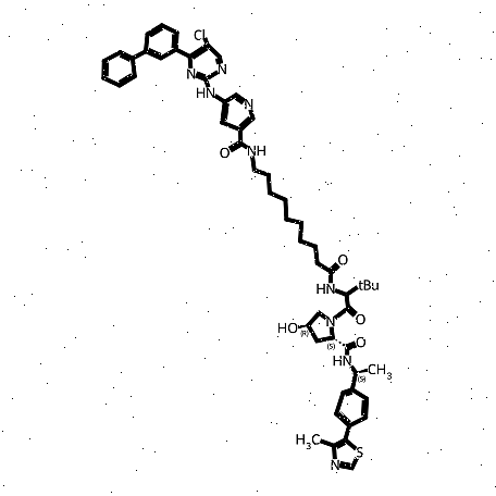 Cc1ncsc1-c1ccc([C@H](C)NC(=O)[C@@H]2C[C@@H](O)CN2C(=O)C(NC(=O)CCCCCCCCCNC(=O)c2cncc(Nc3ncc(Cl)c(-c4cccc(-c5ccccc5)c4)n3)c2)C(C)(C)C)cc1